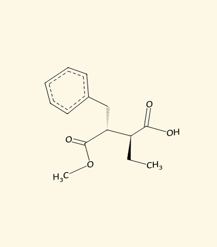 CC[C@H](C(=O)O)[C@@H](Cc1ccccc1)C(=O)OC